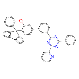 c1ccc(-c2nc(-c3cccc(-c4ccc5c(c4)Oc4ccccc4C54c5ccccc5-c5ccccc54)c3)nc(-c3ccccn3)n2)cc1